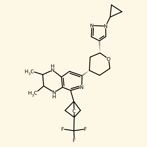 CC1Nc2cc([C@H]3CCO[C@@H](c4cnn(C5CC5)c4)C3)nc(C34CC(C(F)(F)F)(C3)C4)c2NC1C